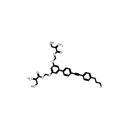 C=C(CO)C(=O)OCOc1cc(OCOC(=O)C(=C)CO)cc(-c2ccc(C#Cc3ccc(CCCF)cc3)cc2)c1